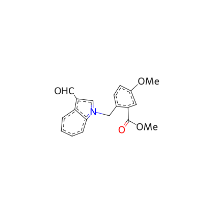 COC(=O)c1cc(OC)ccc1Cn1cc(C=O)c2ccccc21